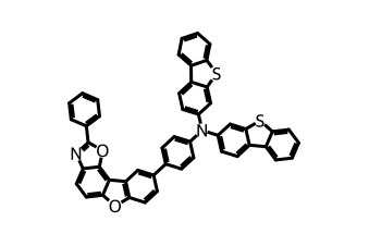 c1ccc(-c2nc3ccc4oc5ccc(-c6ccc(N(c7ccc8c(c7)sc7ccccc78)c7ccc8c(c7)sc7ccccc78)cc6)cc5c4c3o2)cc1